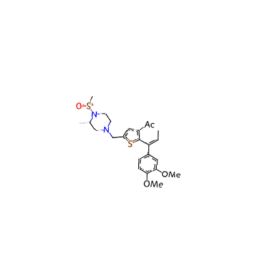 C/C=C(/c1ccc(OC)c(OC)c1)c1sc(CN2CCN([S+](C)[O-])[C@@H](C)C2)cc1C(C)=O